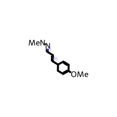 CN/N=C/C=C/C1C=CC(OC)=CC1